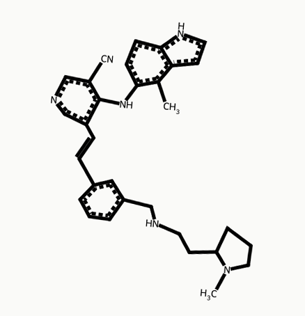 Cc1c(Nc2c(C#N)cncc2C=Cc2cccc(CNCCC3CCCN3C)c2)ccc2[nH]ccc12